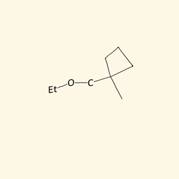 CCOCC1(C)CCC1